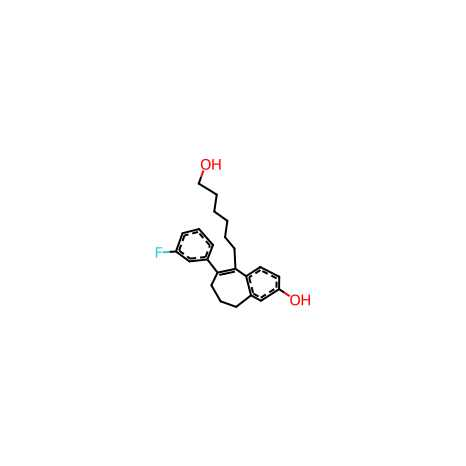 OCCCCCCC1=C(c2cccc(F)c2)CCCc2cc(O)ccc21